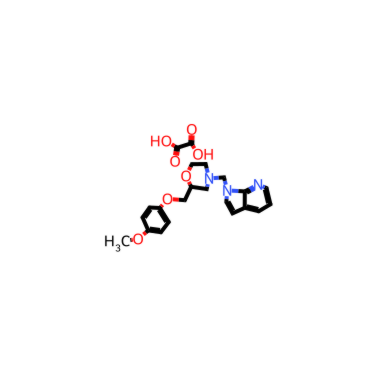 COc1ccc(OCC2CN(Cn3ccc4cccnc43)CCO2)cc1.O=C(O)C(=O)O